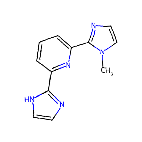 Cn1ccnc1-c1cccc(-c2ncc[nH]2)n1